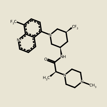 C[C@@H](C(=O)N[C@@H]1C[C@H](C(F)(F)F)CN(c2ccc(C(F)(F)F)c3ncccc23)C1)N1CCN(C)CC1